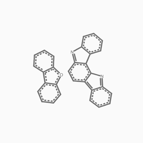 c1ccc2c(c1)N=c1ccc3c(c1-2)N=c1ccccc1=3.c1ccc2c(c1)oc1ccccc12